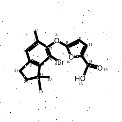 Cc1cc2c(c(Br)c1Oc1ccc(C(=O)O)o1)C(C)(C)CC2